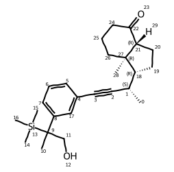 C[C@H](C#Cc1cccc(C(C)(CO)[Si](C)(C)C)c1)[C@H]1CC[C@H]2C(=O)CCC[C@]12C